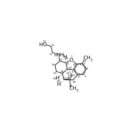 Cc1ccc2c3c1O[C@@H]1C(NCCO)CC[C@@H]4[C@H](C2)N(C)CC[C@@]314